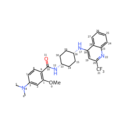 COc1cc(N(C)C)ccc1C(=O)N[C@H]1CC[C@@H](Nc2cc(C(F)(F)F)nc3ccccc23)CC1